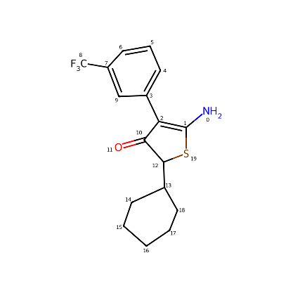 NC1=C(c2cccc(C(F)(F)F)c2)C(=O)C(C2CCCCC2)S1